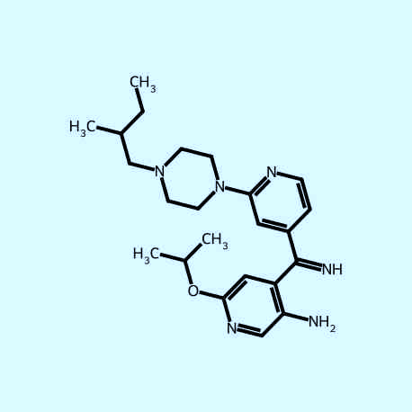 CCC(C)CN1CCN(c2cc(C(=N)c3cc(OC(C)C)ncc3N)ccn2)CC1